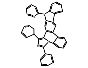 c1ccc(-c2nc(-c3ccccc3)n3c4ccccc4c4cc5c6ccccc6n(-c6ccccn6)c5cc4c23)cc1